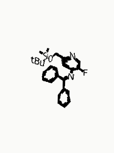 CC(C)(C)[Si](C)(C)OCc1cc(N=C(c2ccccc2)c2ccccc2)c(F)cn1